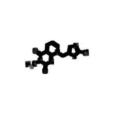 Cn1c(=O)nc2n(Cc3cnc(Cl)s3)cccc-2c1=O